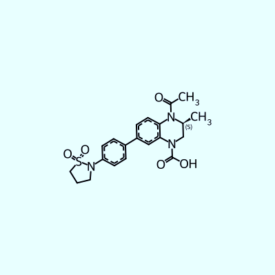 CC(=O)N1c2ccc(-c3ccc(N4CCCS4(=O)=O)cc3)cc2N(C(=O)O)C[C@@H]1C